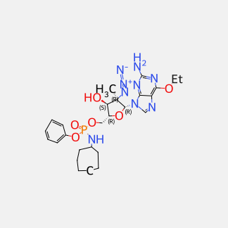 CCOc1nc(N)nc2c1ncn2[C@@H]1O[C@H](COP(=O)(NC2CCCCCC2)Oc2ccccc2)[C@@H](O)[C@@]1(C)N=[N+]=[N-]